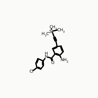 C[Si](C)(C)C#Cc1ccc(N)c(C(=O)Nc2ccc(Cl)cc2)c1